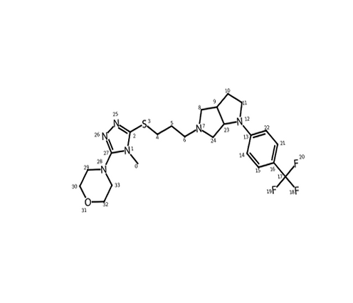 Cn1c(SCCCN2CC3CCN(c4ccc(C(F)(F)F)cc4)C3C2)nnc1N1CCOCC1